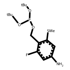 CSc1cc(N)cc(F)c1COP(OC(C)(C)C)OC(C)(C)C